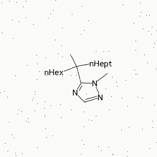 CCCCCCCC(C)(CCCCCC)c1ncnn1C